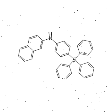 c1ccc([Si](c2ccccc2)(c2ccccc2)c2ccc(Nc3ccc4ccccc4c3)cc2)cc1